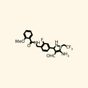 COc1ccccc1C(=O)NCc1ccc(C2NN(CC(F)(F)F)C(N)=C2C=O)cc1F